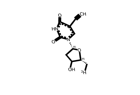 [2H]C[C@H]1O[C@@H](n2cc(C#C)c(=O)[nH]c2=O)CC1O